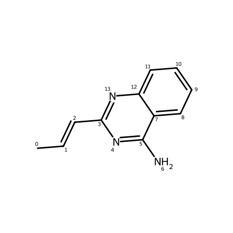 C/C=C/c1nc(N)c2ccccc2n1